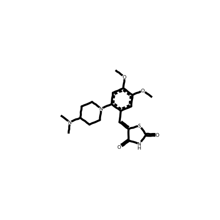 COc1cc(/C=C2\SC(=O)NC2=O)c(N2CCC(N(C)C)CC2)cc1OC